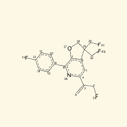 C=C(CF)c1cc2c(c(-c3ccc(F)cc3)n1)OCC2(CF)CF